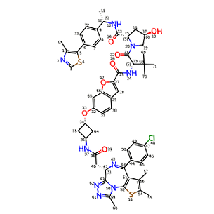 Cc1ncsc1-c1ccc([C@H](C)NC(=O)[C@@H]2C[C@@H](O)CN2C(=O)[C@@H](NC(=O)c2cc3ccc(O[C@H]4C[C@H](NC(=O)C[C@@H]5N=C(c6ccc(Cl)cc6)c6c(sc(C)c6C)-n6c(C)nnc65)C4)cc3o2)C(C)(C)C)cc1